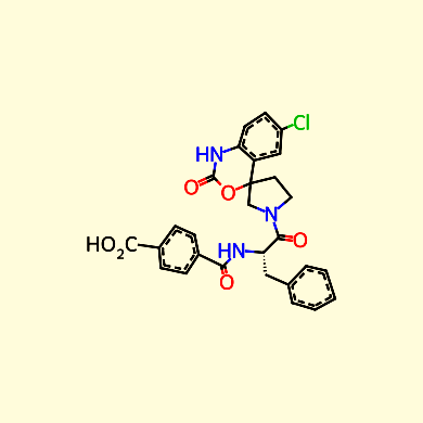 O=C1Nc2ccc(Cl)cc2C2(CCN(C(=O)[C@H](Cc3ccccc3)NC(=O)c3ccc(C(=O)O)cc3)C2)O1